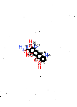 CN(C)c1ccc(O)c2c1CC1CC3[C@H](N(C)C)C(O)=C(C(N)=O)C(=O)[C@@]3(O)C=C1C2=O